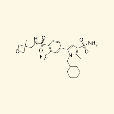 Cc1c(S(N)(=O)=O)cc(-c2ccc(S(=O)(=O)NCC3(C)COC3)c(C(F)(F)F)c2)n1CC1CCCCC1